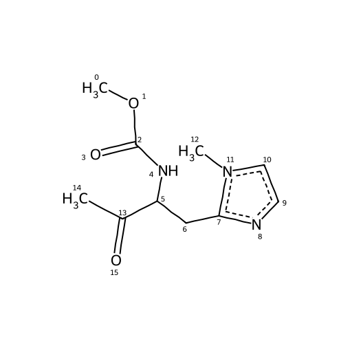 COC(=O)NC(Cc1nccn1C)C(C)=O